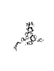 N#CCCOCO[C@@H]1[C@H](O)[C@@H](CO)O[C@H]1n1ccc(N)nc1=O